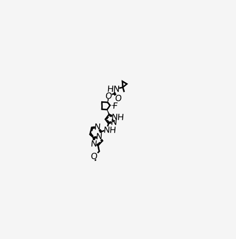 COCc1cn2c(Nc3cc([C@H]4CC[C@@H](OC(=O)NC5(C)CC5)[C@@H]4F)[nH]n3)nccc2n1